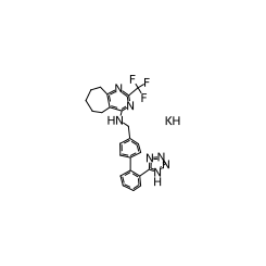 FC(F)(F)c1nc2c(c(NCc3ccc(-c4ccccc4-c4nnn[nH]4)cc3)n1)CCCCC2.[KH]